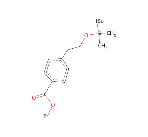 CC(C)OC(=O)c1ccc(CCO[Si](C)(C)C(C)(C)C)cc1